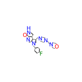 O=c1[nH]ccc2c1ncc1c2c(CN2CCN(CCN3CCOCC3)CC2)cn1Cc1ccc(F)cc1